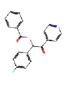 O=C(OC(C(=O)c1ccncc1)c1ccc(F)cc1)c1ccccc1